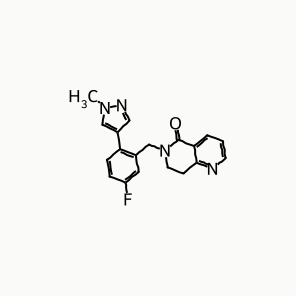 Cn1cc(-c2ccc(F)cc2CN2CCc3ncccc3C2=O)cn1